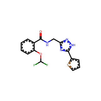 O=C(NCc1n[nH]c(-c2cccs2)n1)c1ccccc1OC(F)F